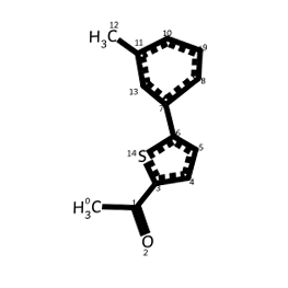 CC(=O)c1ccc(-c2c[c]cc(C)c2)s1